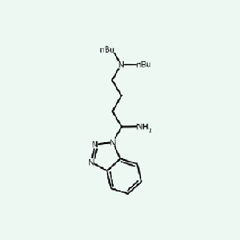 CCCCN(CCCC)CCCC(N)n1nnc2ccccc21